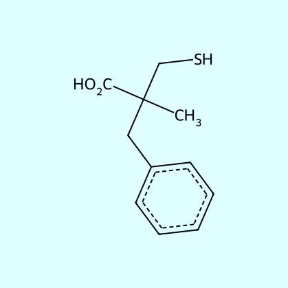 CC(CS)(Cc1ccccc1)C(=O)O